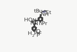 CC/C=C(\NCc1ccc(CCC)c(-c2nc(O)nc(-c3cccc(OC(F)(F)P)c3)n2)c1)C(C)(C)C